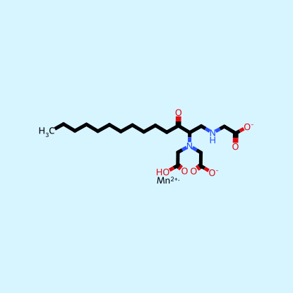 CCCCCCCCCCCC(=O)C(CNCC(=O)[O-])N(CC(=O)[O-])CC(=O)O.[Mn+2]